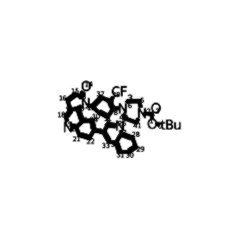 CC(C)(C)OC(=O)N1CCN(c2ccc(-n3c(=O)ccc4cnc5ccc(-c6cnc7ccccc7c6)cc5c43)cc2C(F)(F)F)CC1